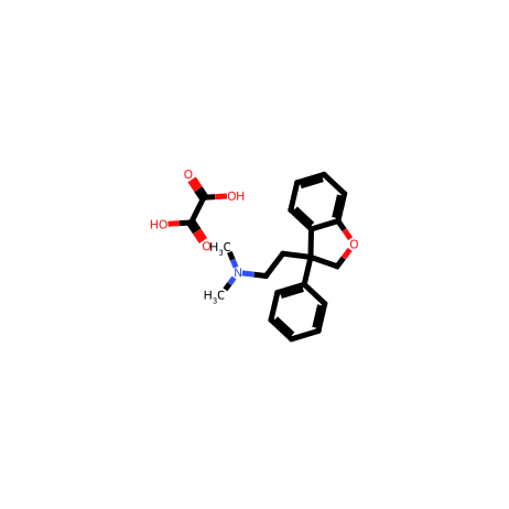 CN(C)CCC1(c2ccccc2)COc2ccccc21.O=C(O)C(=O)O